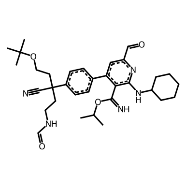 CC(C)OC(=N)c1c(-c2ccc(C(C#N)(CCNC=O)CCOC(C)(C)C)cc2)cc(C=O)nc1NC1CCCCC1